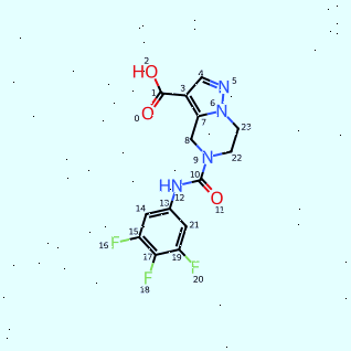 O=C(O)c1cnn2c1CN(C(=O)Nc1cc(F)c(F)c(F)c1)CC2